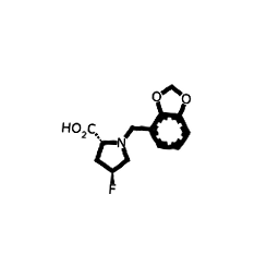 O=C(O)[C@H]1C[C@H](F)CN1Cc1cccc2c1OCO2